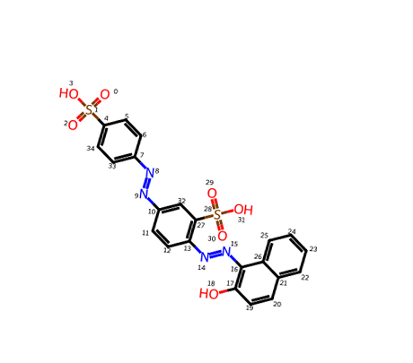 O=S(=O)(O)c1ccc(N=Nc2ccc(N=Nc3c(O)ccc4ccccc34)c(S(=O)(=O)O)c2)cc1